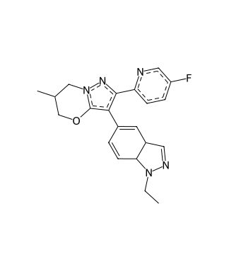 CCN1N=CC2C=C(c3c(-c4ccc(F)cn4)nn4c3OCC(C)C4)C=CC21